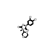 C[N+]1(C2COCCO2)C(=O)ON(c2ccc(Cl)c(Cl)c2)C1=O